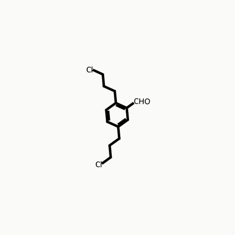 O=Cc1cc(CCCCl)ccc1CCCCl